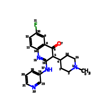 CN1CCC(C2C(=O)c3cc(F)ccc3N=C2Nc2cccnc2)CC1